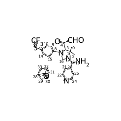 CC1(C)C(C(=O)C=O)N(c2ccc(SC(F)(F)F)cc2)CN1C(N)c1ccncc1.O=C1c2cccc1c2